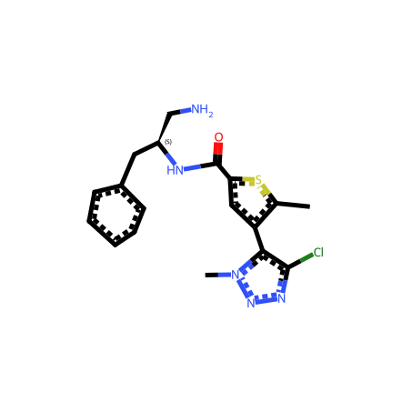 Cc1sc(C(=O)N[C@H](CN)Cc2ccccc2)cc1-c1c(Cl)nnn1C